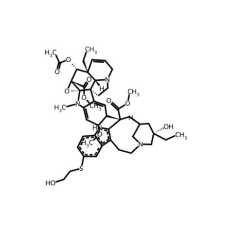 CC[C@]1(O)C[C@H]2CN(CCc3c([nH]c4ccc(SCCO)cc34)[C@@](C(=O)OC)(C3C=C4C(=CC3OC)N(C)[C@@]35O[C@]3(C(=O)OC)[C@H](OC(C)=O)[C@]3(CC)C=CCN6CC[C@]45[C@@H]63)C2)C1